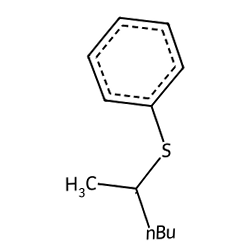 CCCC[C](C)Sc1ccccc1